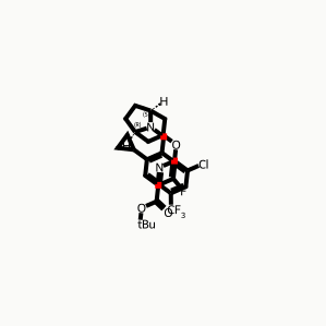 CC(C)(C)OC(=O)c1cc(C2CC2)c(CN2[C@@H]3CC[C@H]2CC(Oc2ncc(C(F)(F)F)cc2Cl)C3)cc1F